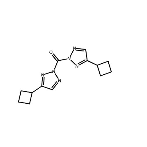 O=C(n1ncc(C2CCC2)n1)n1ncc(C2CCC2)n1